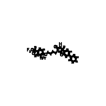 CCCc1c(OCCCCN2C(=O)NC(C)(c3ccc(C4=CCCC=C4)cc3)C2=O)ccc2c1COC2(C)C(F)(F)F